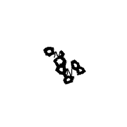 c1ccc(-n2ccc3cc4c(ccc5c6ccccc6n(-c6cccc7ccccc67)c45)cc32)cc1